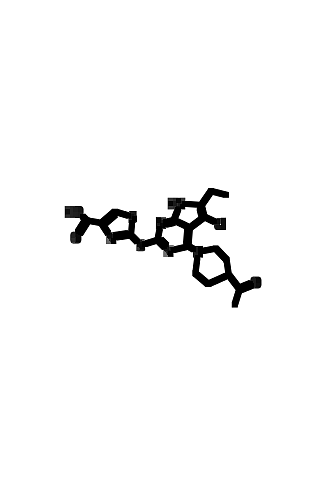 CCc1[nH]c2nc(Sc3nc(C(=O)O)cs3)nc(N3CCC(C(C)=O)CC3)c2c1Cl